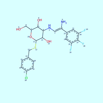 N/C(=C\NC1C(O)C(CO)OC(SCc2ccc(Cl)cc2)C1O)c1cc(F)c(F)c(F)c1